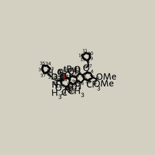 COC(OC)c1cc(OCc2ccccc2)c2c(c1C(F)(F)F)C[C@H]1C[C@H]3[C@H](N(C)C)c4onc(OCc5ccccc5)c4C(=O)C3(O[Si](C)(C)C(C)(C)C)C(O)=C1C2=O